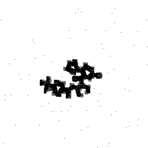 CCN(C(=O)c1cc(Cl)ccc1-n1nccn1)C(C)CNc1cnc(C(F)(F)F)cn1